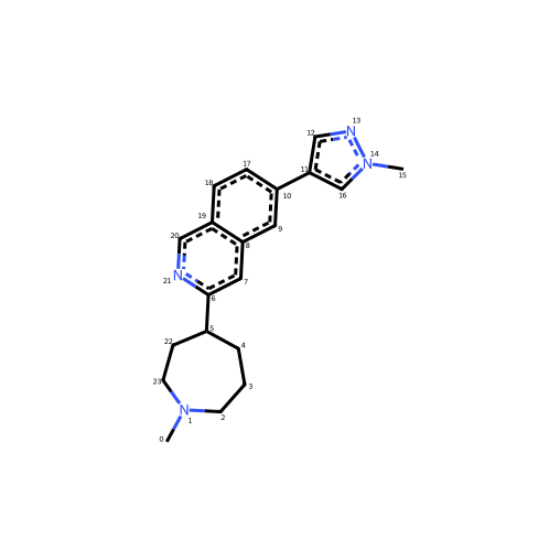 CN1CCCC(c2cc3cc(-c4cnn(C)c4)ccc3cn2)CC1